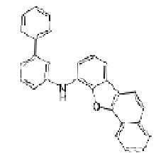 c1ccc(-c2cccc(Nc3cccc4c3oc3c5ccccc5ccc43)c2)cc1